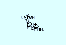 CCOP(=O)(O)CO[C@@H]1C=C(F)[C@H](n2cnc3c(N)ncnc32)O1